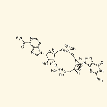 NC(=O)c1ncnc2c1ncn2[C@@H]1O[C@@H]2CO[PH](O)(O)O[C@@H]3[C@H](O)[C@@H](CO[PH](O)(O)O[C@H]2[C@H]1O)O[C@H]3n1cnc2c(=O)[nH]c(N)nc21